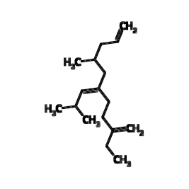 C=CCC(C)CC(=CC(C)C)CCC(=C)CC